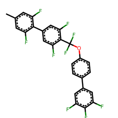 Cc1cc(F)c(-c2cc(F)c(C(F)(F)Oc3ccc(-c4cc(F)c(F)c(F)c4)cc3)c(F)c2)c(F)c1